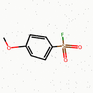 COc1[c]cc(S(=O)(=O)F)cc1